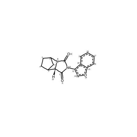 O=C1[C@@H]2C3CCC(C3)N2C(=O)N1c1noc2ccccc12